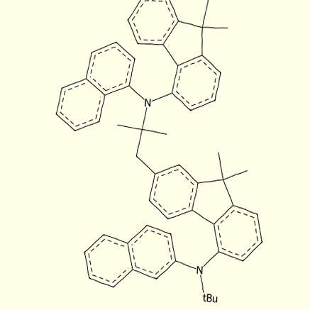 CC1(C)c2cc(CC(C)(C)N(c3cccc4c3-c3ccccc3C4(C)C)c3cccc4ccccc34)ccc2-c2c(N(c3ccc4ccccc4c3)C(C)(C)C)cccc21